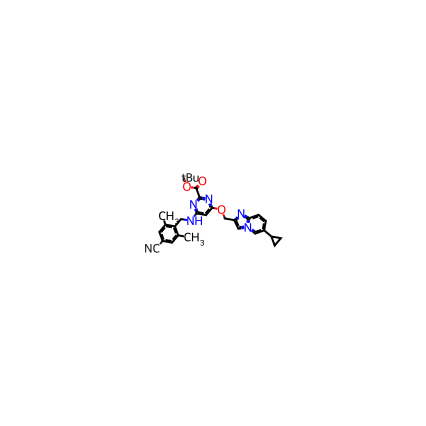 Cc1cc(C#N)cc(C)c1CNc1cc(OCc2cn3cc(C4CC4)ccc3n2)nc(C(=O)OC(C)(C)C)n1